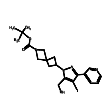 CC(C)(C)OC(=O)N1CC2(CC(n3nc(-c4cccnc4)c(I)c3CO)C2)C1